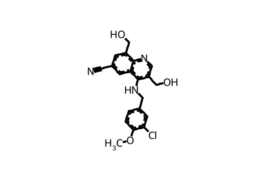 COc1ccc(CNc2c(CO)cnc3c(CO)cc(C#N)cc23)cc1Cl